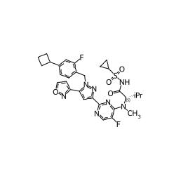 CC(C)[C@@H](C(=O)NS(=O)(=O)C1CC1)N(C)c1nc(-c2cc(-c3ccon3)n(Cc3ccc(C4CCC4)cc3F)n2)ncc1F